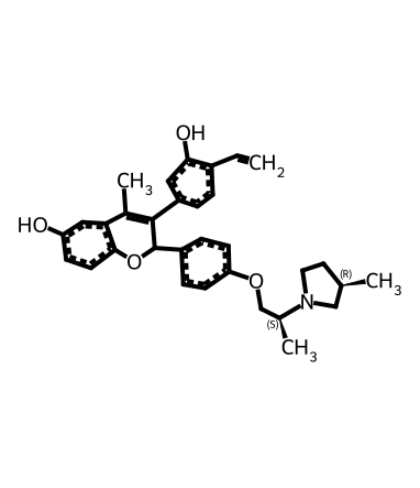 C=Cc1ccc(C2=C(C)c3cc(O)ccc3OC2c2ccc(OC[C@H](C)N3CC[C@@H](C)C3)cc2)cc1O